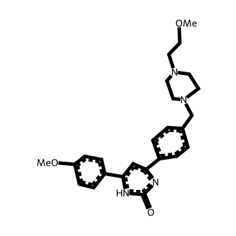 COCCN1CCN(Cc2ccc(-c3cc(-c4ccc(OC)cc4)[nH]c(=O)n3)cc2)CC1